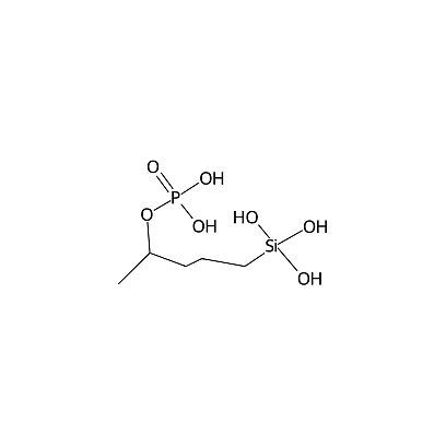 CC(CCC[Si](O)(O)O)OP(=O)(O)O